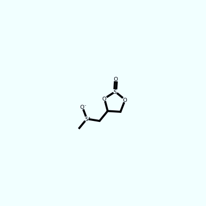 C[S+]([O-])CC1COS(=O)O1